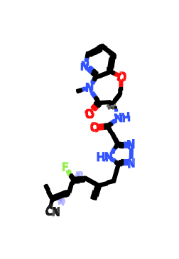 C=C(/C=C(F)\C=C(/C)C#N)Cc1nnc(C(=O)N[C@H]2COc3cccnc3N(C)C2=O)[nH]1